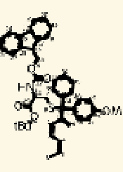 C=C(/C=C\C=C/C)C(SC[C@H](NC(=O)OCC1c2ccccc2-c2ccccc21)C(=O)OC(C)(C)C)(c1ccccc1)c1ccc(OC)cc1